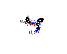 Cc1c(-c2cnn(C)c2)nn(-c2ccccc2)c1NC(=O)NC1c2ccccc2C(C)(C)[C@H]1O